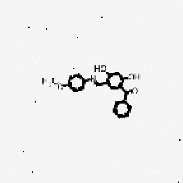 COc1ccc(N=Cc2cc(C(=O)c3ccccc3)c(O)cc2O)cc1